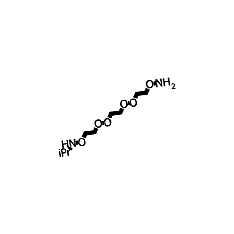 CC(C)NOCCOOCCOOCCON